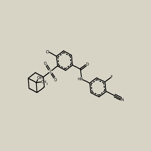 CC1(O)C2CC1CC(S(=O)(=O)c1cc(C(=O)Nc3ccc(C#N)c(F)c3)ccc1Cl)C2